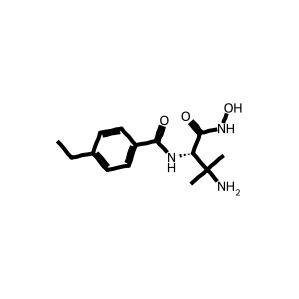 CCc1ccc(C(=O)N[C@H](C(=O)NO)C(C)(C)N)cc1